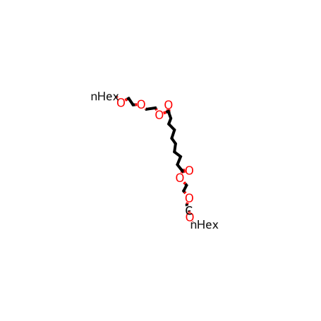 CCCCCCOCCOCCOC(=O)CCCCCCCCC(=O)OCCOCCOCCCCCC